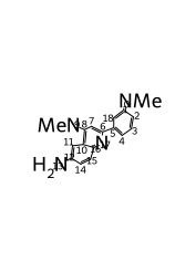 CNc1cccc(-c2cc(NC)c3cc(N)ccc3n2)c1